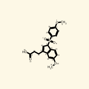 COc1ccc(S(=O)(=O)C2C=C(CCC(=O)O)c3cc(OC)ccc32)cc1